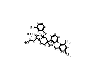 CCc1cccc(OC2(OC(=O)C(=O)O)CC(COCc3cc(C(F)(F)F)cc(C(F)(F)F)c3)(c3ccccc3)CCN2CCCO)c1